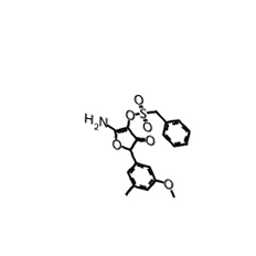 COc1cc(C)cc(C2OC(N)=C(OS(=O)(=O)Cc3ccccc3)C2=O)c1